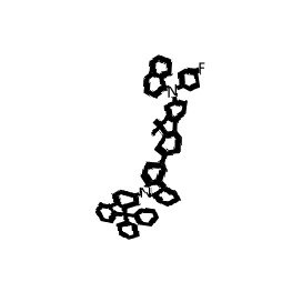 CC1(C)c2cc(-c3ccc4c(c3)c3ccccc3n4-c3ccc4c(c3)C(c3ccccc3)(c3ccccc3)c3ccccc3-4)ccc2-c2ccc(N(c3ccc(F)cc3)c3cccc4ccccc34)cc21